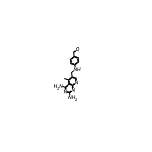 Cc1c(CNc2ccc(C=O)cc2)cnc2nc(N)nc(N)c12